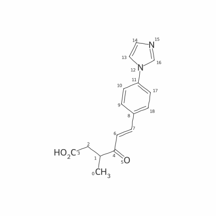 CC(CC(=O)O)C(=O)C=Cc1ccc(-n2ccnc2)cc1